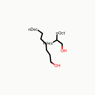 CCCCCCCCC(CO)CCCCCC.CCCCCCCCCCCCCCCCO